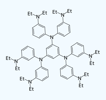 CCN(CC)c1cccc(N(c2cccc(N(CC)CC)c2)c2cc(N(c3cccc(N(CC)CC)c3)c3cccc(N(CC)CC)c3)cc(N(c3cccc(N(CC)CC)c3)c3cccc(N(CC)CC)c3)c2)c1